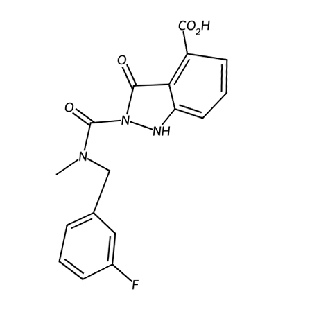 CN(Cc1cccc(F)c1)C(=O)n1[nH]c2cccc(C(=O)O)c2c1=O